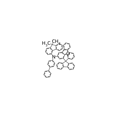 CC1(C)c2ccccc2-c2c(N(c3ccc(-c4ccccc4)cc3)c3cc(C4(c5ccccc5)c5ccccc5-c5ccccc54)c4oc5ccccc5c4c3)cccc21